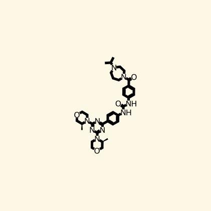 CC(C)N1CCCN(C(=O)c2ccc(NC(=O)Nc3ccc(-c4nc(N5CCOC[C@@H]5C)nc(N5CCOC[C@@H]5C)n4)cc3)cc2)CC1